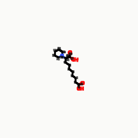 O=C(O)CCCCCCCC(C(=O)O)N1CCCCC1